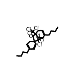 CCCCC1=CCC(C(=O)C2(C(Cl)(Cl)Cl)C=CC(CCCC)=CC2)(C(Cl)(Cl)Cl)C=C1